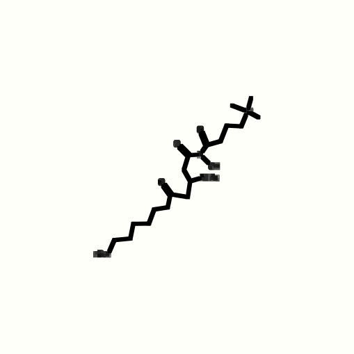 CCCCCCCCCCCCCCCCC(=O)CC(CC(=O)P(O)C(=O)CCC[N+](C)(C)C)NC(C)=O